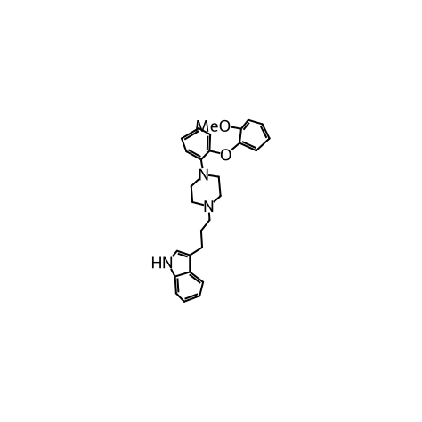 COc1ccccc1Oc1ccccc1N1CCN(CCCc2c[nH]c3ccccc23)CC1